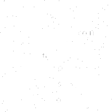 Cc1c(C(=O)O)c2ccccc2n1C(C)C(C)S(C)(=O)=O